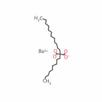 CCCCCCCCCCCCC(CCCCCCCCC)(C(=O)[O-])C(=O)[O-].[Ba+2]